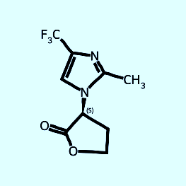 Cc1nc(C(F)(F)F)cn1[C@H]1CCOC1=O